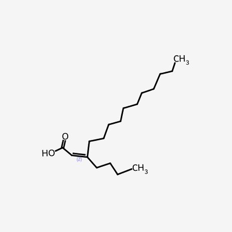 CCCCCCCCCCC/C(=C\C(=O)O)CCCC